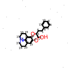 O=C(O)C(CCc1ccccc1)Oc1ccc2c3c1CCCN3CCC2